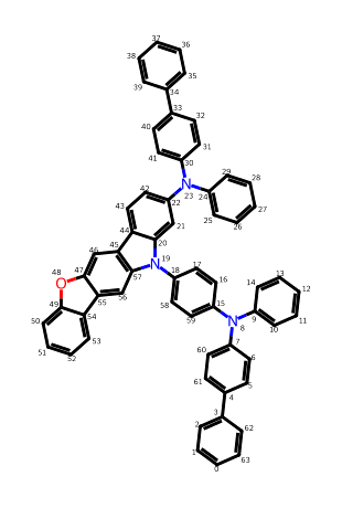 c1ccc(-c2ccc(N(c3ccccc3)c3ccc(-n4c5cc(N(c6ccccc6)c6ccc(-c7ccccc7)cc6)ccc5c5cc6oc7ccccc7c6cc54)cc3)cc2)cc1